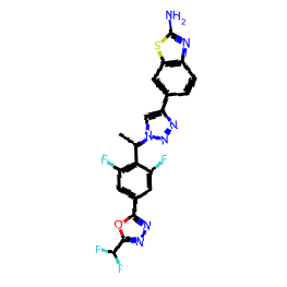 CC(c1c(F)cc(-c2nnc(C(F)F)o2)cc1F)n1cc(-c2ccc3nc(N)sc3c2)nn1